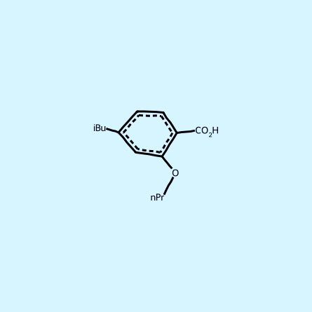 CCCOc1cc(C(C)CC)ccc1C(=O)O